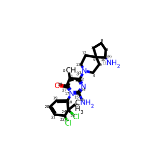 Cc1c(N2CCC3(CCC[C@H]3N)CC2)nc(N)n(C2=CC=CC(Cl)C2(C)Cl)c1=O